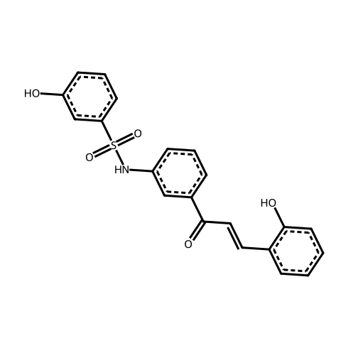 O=C(/C=C/c1ccccc1O)c1cccc(NS(=O)(=O)c2cccc(O)c2)c1